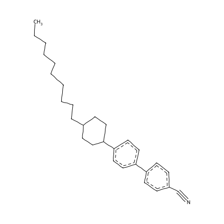 CCCCCCCCCCC1CCC(c2ccc(-c3ccc(C#N)cc3)cc2)CC1